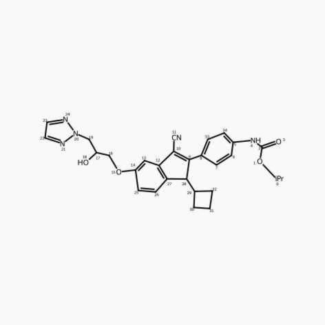 CC(C)OC(=O)Nc1ccc(C2=C(C#N)c3cc(OCC(O)Cn4nccn4)ccc3C2C2CCC2)cc1